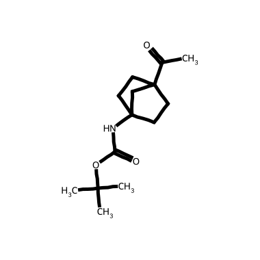 CC(=O)C12CCC(NC(=O)OC(C)(C)C)(CC1)C2